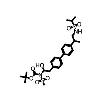 CC(CNS(=O)(=O)C(C)C)c1ccc(-c2ccc(CC(O)N(C(=O)OC(C)(C)C)S(C)(=O)=O)cc2)cc1